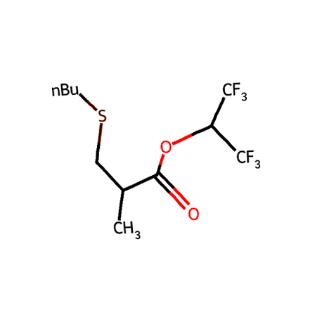 CCCCSCC(C)C(=O)OC(C(F)(F)F)C(F)(F)F